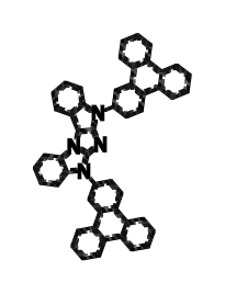 c1ccc2c(c1)c1ccccc1c1cc(-n3c4ccccc4c4c3nc3n(-c5ccc6c7ccccc7c7ccccc7c6c5)c5ccccc5n43)ccc21